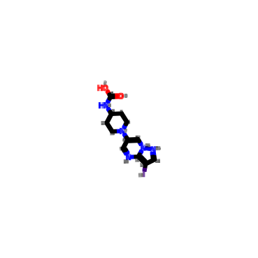 O=C(O)NC1CCN(c2cnc3c(I)cnn3c2)CC1